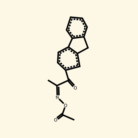 CC(=O)O/N=C(/C)C(=O)c1ccc2c(c1)Cc1ccccc1-2